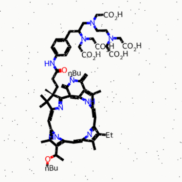 C=C1c2c3nc(cc4[nH]c(cc5nc(cc6[nH]c2c(c6C)C(=C)N1CCCC)C(CC)=C5C)c(C(C)OCCCC)c4C)C(C)(C)[C@]3(C)CCC(=O)Nc1ccc(CC(CN(CCN(CC(=O)O)CC(=O)O)CC(=O)O)N(CC(=O)O)CC(=O)O)cc1